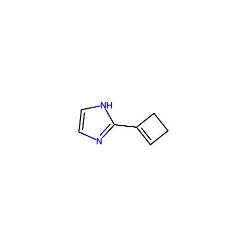 C1=C(c2ncc[nH]2)CC1